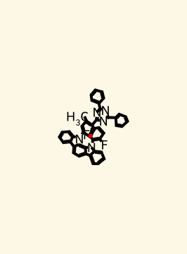 Cc1cc(-n2c3ccccc3c3ccc4c5ccccc5n(-c5c(F)cccc5F)c4c32)ccc1-c1nc(-c2ccccc2)nc(-c2ccccc2)n1